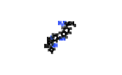 C=C(NC1(C#N)CCC1)c1cc(NC2=Cc3ccc(C(C)N)cc3C2)ccn1